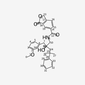 COc1cccc(C[C@](O)(CNC(=O)c2ccc3c(c2)C(=O)OC3)CC(C)(C)c2ccccc2)c1